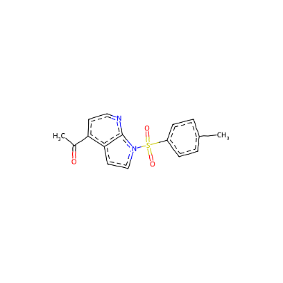 CC(=O)c1ccnc2c1ccn2S(=O)(=O)c1ccc(C)cc1